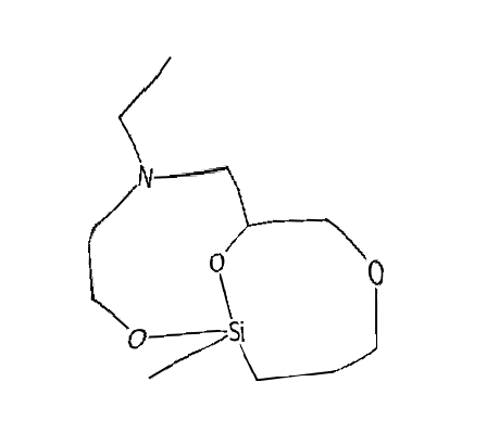 CCN1CCO[Si]2(C)CCCOCC(C1)O2